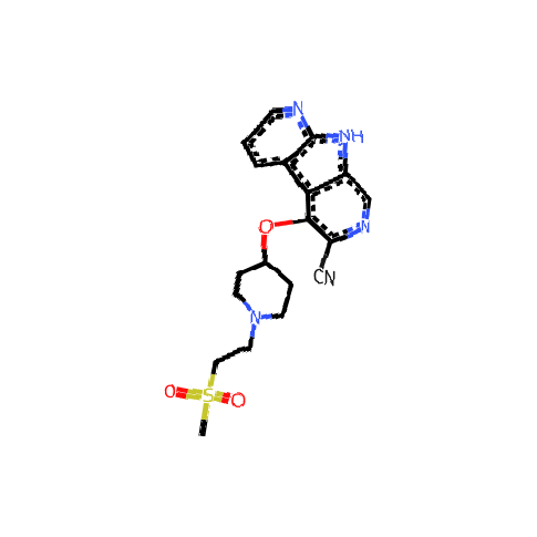 CS(=O)(=O)CCN1CCC(Oc2c(C#N)ncc3[nH]c4ncccc4c23)CC1